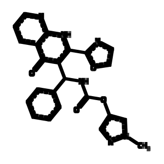 Cn1cc(OC(=O)NC(c2ccccc2)c2c(-c3ncco3)[nH]c3ncccc3c2=O)cn1